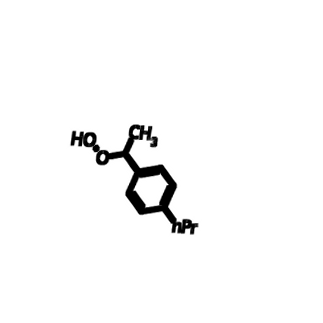 CCCc1ccc(C(C)OO)cc1